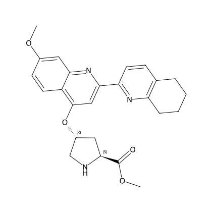 COC(=O)[C@@H]1C[C@@H](Oc2cc(-c3ccc4c(n3)CCCC4)nc3cc(OC)ccc23)CN1